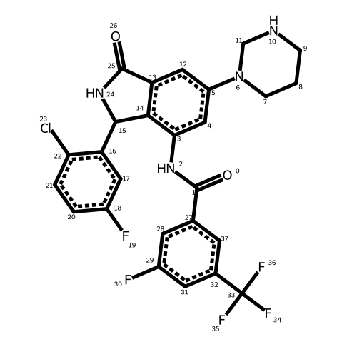 O=C(Nc1cc(N2CCCNC2)cc2c1C(c1cc(F)ccc1Cl)NC2=O)c1cc(F)cc(C(F)(F)F)c1